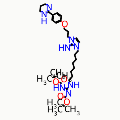 CC(C)(C)OC(=O)/N=C(/NCCCCCCCCn1ccn(CCCOc2ccc(C3=NCCCN3)cc2)c1=N)NC(=O)OC(C)(C)C